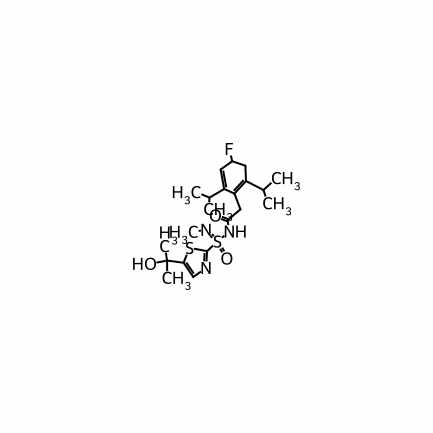 CN=S(=O)(NC(=O)CC1=C(C(C)C)CC(F)C=C1C(C)C)c1ncc(C(C)(C)O)s1